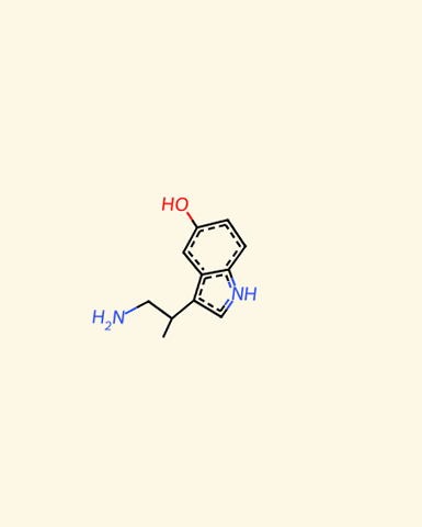 CC(CN)c1c[nH]c2ccc(O)cc12